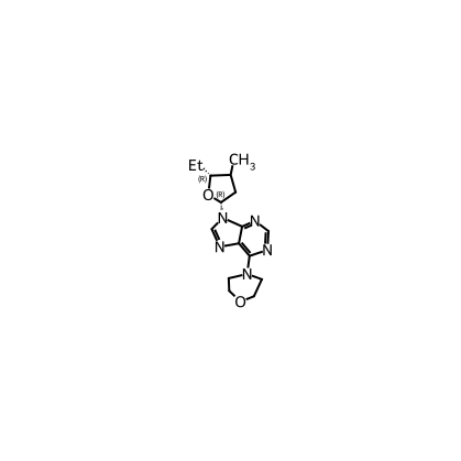 CC[C@H]1O[C@@H](n2cnc3c(N4CCOCC4)ncnc32)CC1C